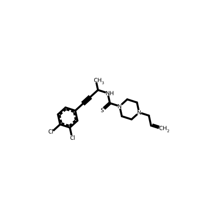 C=CCN1CCN(C(=S)NC(C)C#Cc2ccc(Cl)c(Cl)c2)CC1